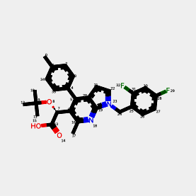 Cc1ccc(-c2c([C@@H](OC(C)(C)C)C(=O)O)c(C)nc3c2ccn3Cc2ccc(F)cc2F)cc1